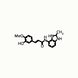 COc1ccc(/C=C/C(=O)Nc2cccc3c2NC(C)N3)cc1O